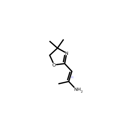 C/C(N)=C\C1=NC(C)(C)CO1